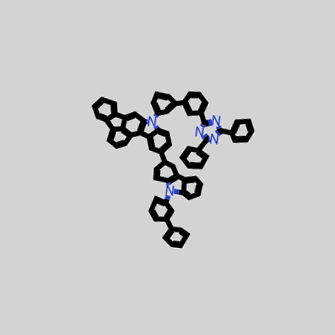 C1=CC(c2ccc3c(c2)c2c4cccc5c4c(cc2n3-c2cccc(-c3cccc(-c4nc(-c6ccccc6)nc(-c6ccccc6)n4)c3)c2)-c2ccccc2-5)Cc2c1n(-c1cccc(-c3ccccc3)c1)c1ccccc21